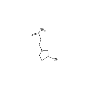 NC(=O)CCN1CCC(O)C1